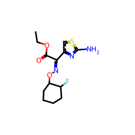 CCOC(=O)/C(=N\OC1CCCCC1F)c1csc(N)n1